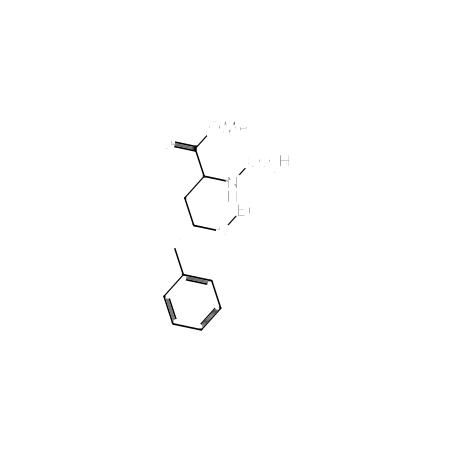 CCS[C@H](Cc1ccccc1)CC(NC(=O)O)C(=O)OC